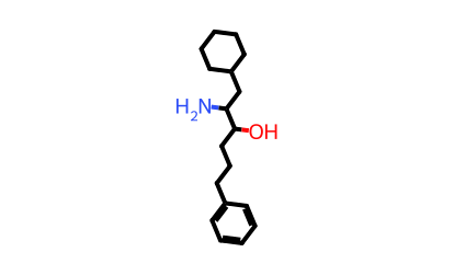 NC(CC1CCCCC1)C(O)CCCc1ccccc1